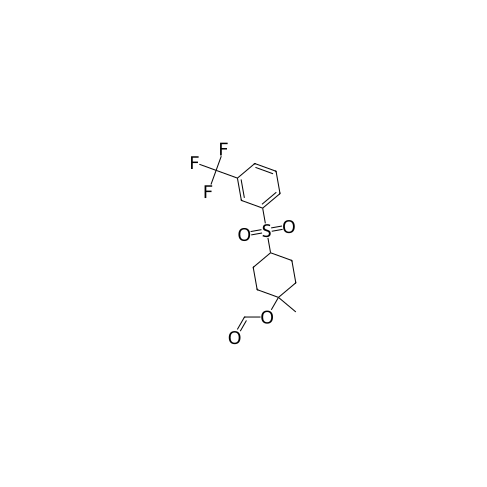 CC1(OC=O)CCC(S(=O)(=O)c2cccc(C(F)(F)F)c2)CC1